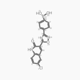 O=c1[nH]c2ccc(Cl)cc2cc1-c1nc(-c2ccc(B(O)O)cc2)no1